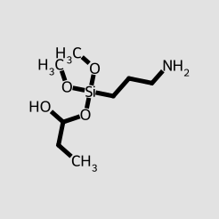 CCC(O)O[Si](CCCN)(OC)OC